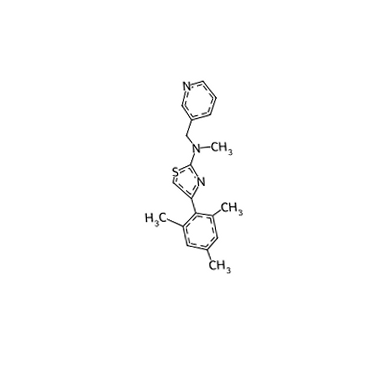 Cc1cc(C)c(-c2csc(N(C)Cc3cccnc3)n2)c(C)c1